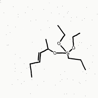 CCC=CC(C)O[Si](CCC)(OCC)OCC